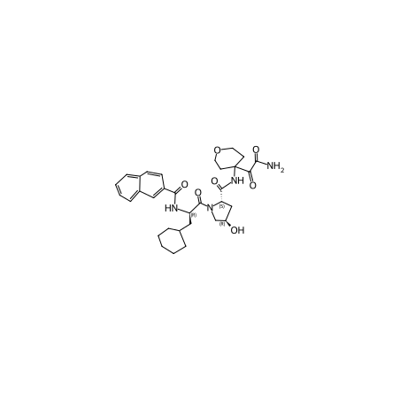 NC(=O)C(=O)C1(NC(=O)[C@@H]2C[C@@H](O)CN2C(=O)[C@@H](CC2CCCCC2)NC(=O)c2ccc3ccccc3c2)CCOCC1